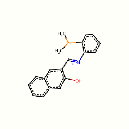 CP(C)c1ccccc1/N=C/c1cc2ccccc2cc1O